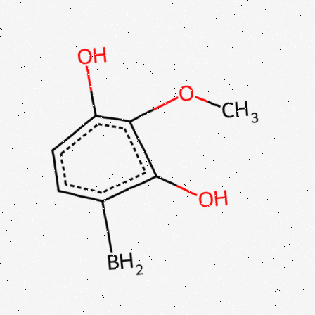 Bc1ccc(O)c(OC)c1O